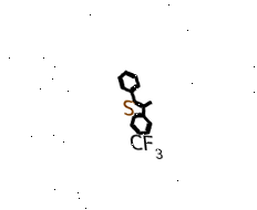 Cc1c(-c2ccccc2)sc2cc(C(F)(F)F)ccc12